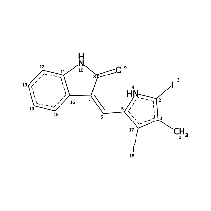 Cc1c(I)[nH]c(/C=C2\C(=O)Nc3ccccc32)c1I